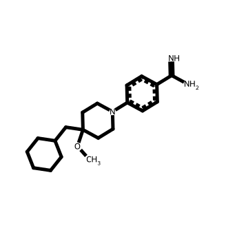 COC1(CC2CCCCC2)CCN(c2ccc(C(=N)N)cc2)CC1